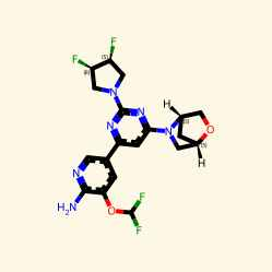 Nc1ncc(-c2cc(N3C[C@@H]4C[C@H]3CO4)nc(N3C[C@@H](F)[C@@H](F)C3)n2)cc1OC(F)F